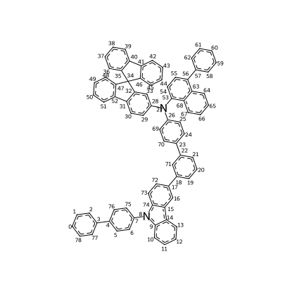 c1ccc(-c2ccc(-n3c4ccccc4c4cc(-c5cccc(-c6ccc(N(c7ccc8c(c7)C7(c9ccccc9-c9ccccc97)c7ccccc7-8)c7ccc(-c8ccccc8)c8ccccc78)cc6)c5)ccc43)cc2)cc1